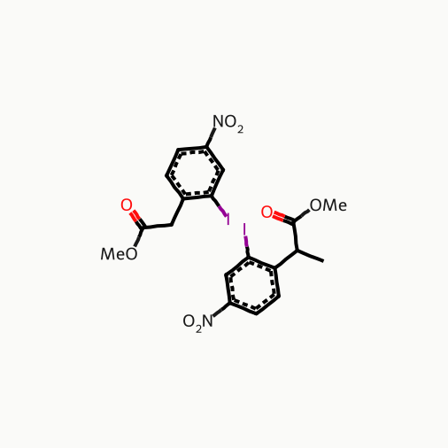 COC(=O)C(C)c1ccc([N+](=O)[O-])cc1I.COC(=O)Cc1ccc([N+](=O)[O-])cc1I